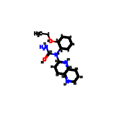 CCOc1ccccc1N(C(N)=O)c1ccc2ncccc2n1